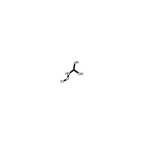 CCCC(O)NOCC